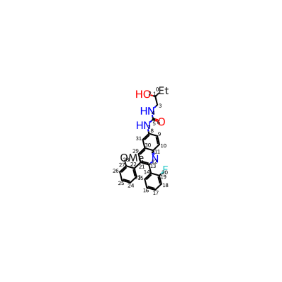 CCC(O)CNC(=O)Nc1ccc2nc(-c3ccccc3F)c(-c3ccccc3OC)cc2c1